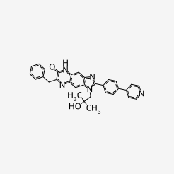 CC(C)(O)Cn1c(-c2ccc(-c3ccncc3)cc2)nc2cc3[nH]c(=O)c(Cc4ccccc4)nc3cc21